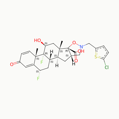 C[C@]12C=CC(=O)C=C1[C@@H](F)C[C@H]1[C@@H]3C[C@H]4CN(Cc5ccc(Cl)s5)O[C@@]4(C(=O)O)[C@@]3(C)C[C@H](O)[C@@]12F